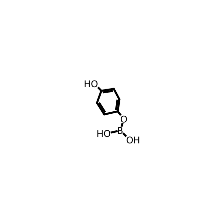 OB(O)Oc1ccc(O)cc1